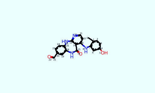 Cc1ccc(O)cc1Nc1ccnc2c1C(=O)Nc1cc(C=O)ccc1N2